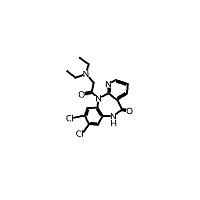 CCN(CC)CC(=O)N1c2cc(Cl)c(Cl)cc2NC(=O)c2cccnc21